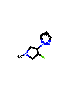 CN1CC(F)C(n2cccn2)C1